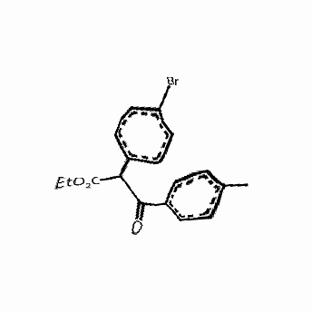 CCOC(=O)C(C(=O)c1ccc(C)cc1)c1ccc(Br)cc1